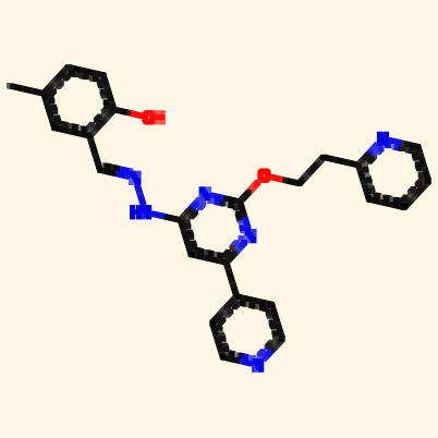 Cc1ccc(O)c(/C=N/Nc2cc(-c3ccncc3)nc(OCCc3ccccn3)n2)c1